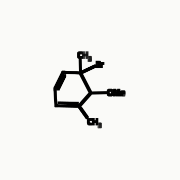 COC1C(C)=CC=CC1(C)Br